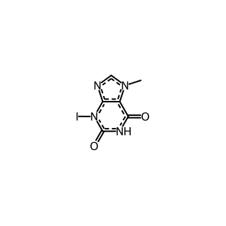 Cn1cnc2c1c(=O)[nH]c(=O)n2I